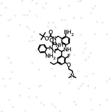 Bc1ccc(NC(c2nn(-c3ccccc3N)c(=O)[nH]2)c2cc(CC)cc(OCCN(C)C)c2F)cc1CNC(=O)OC(C)(C)C